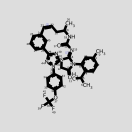 Cc1ccc(C(C)C)c(N2C(=O)CS/C2=N\C(=O)NC(C)C/C=C\c2cccc(-c3ncn(-c4ccc(OC(F)(F)F)cc4)n3)c2)c1